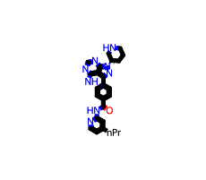 CCCc1ccnc(NC(=O)c2ccc(-c3nn([C@@H]4CCCNC4)c4ncnc(N)c34)cc2)c1